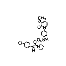 COc1cccn(-c2ccc(NC(=O)C3CCCN3C(=O)Nc3ccc(Cl)cc3)cc2)c1=O